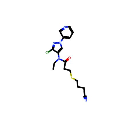 CCN(C(=O)CCSCCCC#N)c1cn(-c2cccnc2)nc1Cl